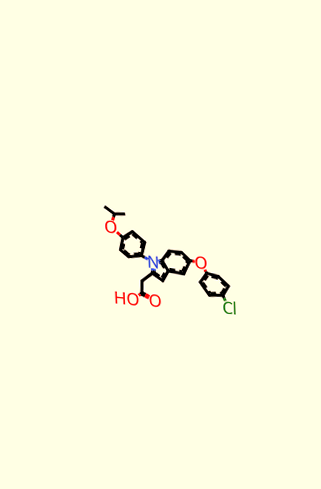 CC(C)Oc1ccc(-n2c(CC(=O)O)cc3cc(Oc4ccc(Cl)cc4)ccc32)cc1